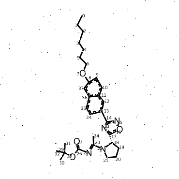 CCCCCCCOc1ccc2cc(-c3noc([C@@H]4CCCN4/C(C)=N/C(=O)OC(C)(C)C)n3)ccc2c1